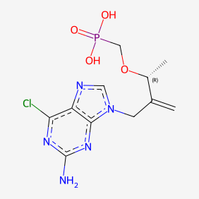 C=C(Cn1cnc2c(Cl)nc(N)nc21)[C@@H](C)OCP(=O)(O)O